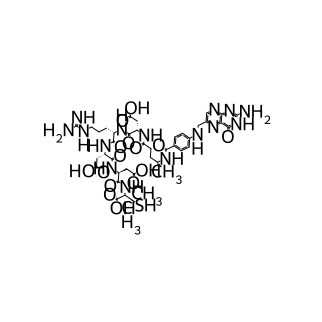 C[C@H](CCC(=O)N[C@@H](CC(=O)O)C(=O)N[C@@H](CCCNC(=N)N)C(=O)N[C@@H](CC(=O)O)C(=O)N[C@@H](CC(=O)O)C(=O)N[C@H](C(=O)O)C(C)(C)S)NC(=O)c1ccc(NCc2cnc3nc(N)[nH]c(=O)c3n2)cc1